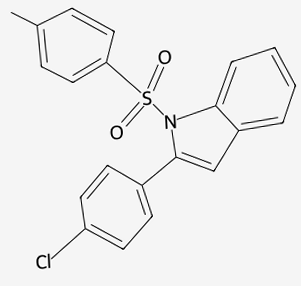 Cc1ccc(S(=O)(=O)n2c(-c3ccc(Cl)cc3)cc3ccccc32)cc1